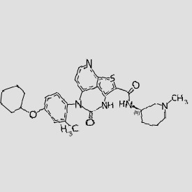 Cc1cc(OC2CCCCC2)ccc1N1C(=O)Nc2c(C(=O)N[C@@H]3CCCN(C)C3)sc3nccc1c23